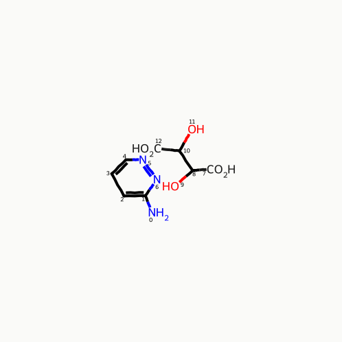 Nc1cccnn1.O=C(O)C(O)C(O)C(=O)O